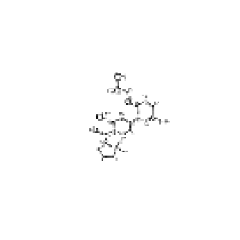 CC1(C)CCCN1C(=O)c1ccc(-c2cc(F)ccc2OCC(=O)O)cc1Cl